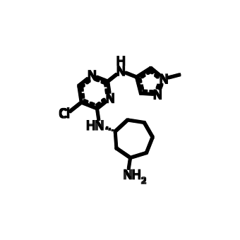 Cn1cc(Nc2ncc(Cl)c(N[C@@H]3CCCCC(N)C3)n2)cn1